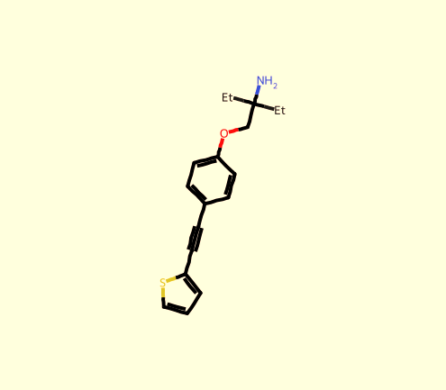 CCC(N)(CC)COc1ccc(C#Cc2cccs2)cc1